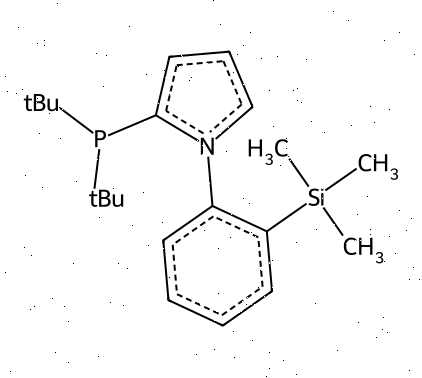 CC(C)(C)P(c1cccn1-c1ccccc1[Si](C)(C)C)C(C)(C)C